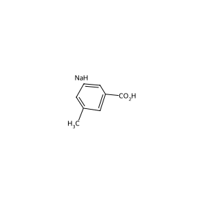 Cc1cccc(C(=O)O)c1.[NaH]